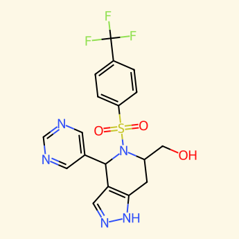 O=S(=O)(c1ccc(C(F)(F)F)cc1)N1C(CO)Cc2[nH]ncc2C1c1cncnc1